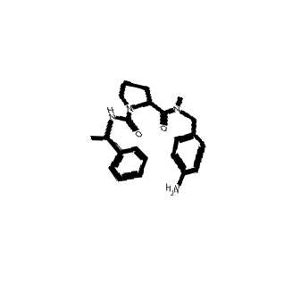 CC(NC(=O)N1CCCC1C(=O)N(C)Cc1ccc(N)cc1)c1ccccc1